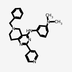 CN(C)c1cccc(Nc2nc(-c3ccncc3)nc3c2CN(Cc2ccccc2)CC3)c1